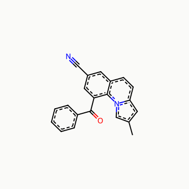 Cc1cc2ccc3cc(C#N)cc(C(=O)c4ccccc4)c3n2c1